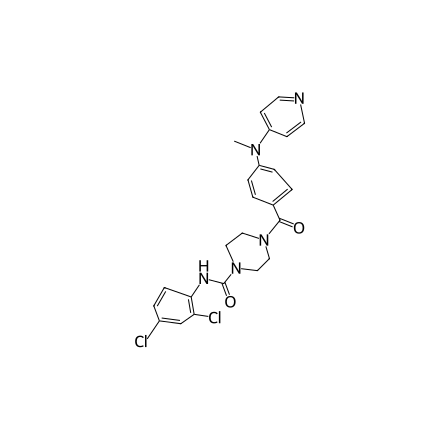 CN(c1ccncc1)c1ccc(C(=O)N2CCN(C(=O)Nc3ccc(Cl)cc3Cl)CC2)cc1